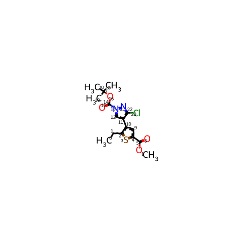 CCc1sc(C(=O)OC)cc1-c1cn(C(=O)OC(C)(C)C)nc1Cl